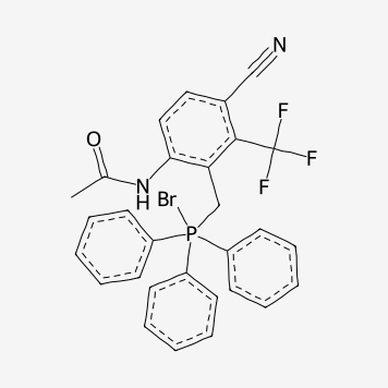 CC(=O)Nc1ccc(C#N)c(C(F)(F)F)c1CP(Br)(c1ccccc1)(c1ccccc1)c1ccccc1